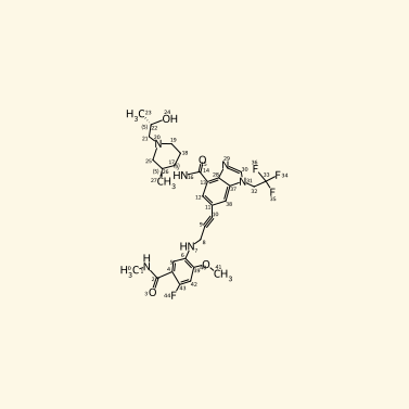 CNC(=O)c1cc(NCC#Cc2cc(C(=O)N[C@H]3CCN(C[C@H](C)O)C[C@@H]3C)c3ncn(CC(F)(F)F)c3c2)c(OC)cc1F